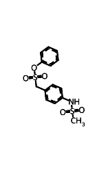 CS(=O)(=O)Nc1ccc(CS(=O)(=O)Oc2ccccc2)cc1